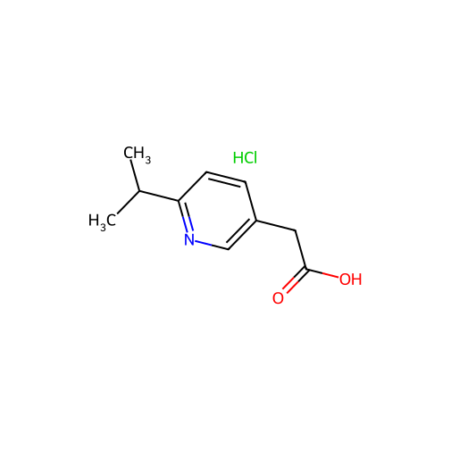 CC(C)c1ccc(CC(=O)O)cn1.Cl